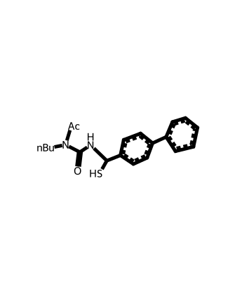 CCCCN(C(C)=O)C(=O)NC(S)c1ccc(-c2ccccc2)cc1